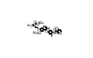 COc1cc2c(Oc3cc(F)c(NC(=O)c4cnccc4Cl)cc3F)ccnc2cc1OCCN(C)C(=O)OC(C)(C)C